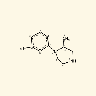 C[C@H]1CNCCN1c1cccc(F)c1